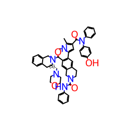 Cc1c(C(=O)N(c2ccccc2)c2ccc(O)cc2)cc(-c2cc3c(cc2C(=O)N2Cc4ccccc4C[C@H]2CN2CCOCC2)CN(C(=O)Nc2ccccc2)CC3)n1C